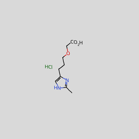 Cc1nc(CCCOCC(=O)O)c[nH]1.Cl